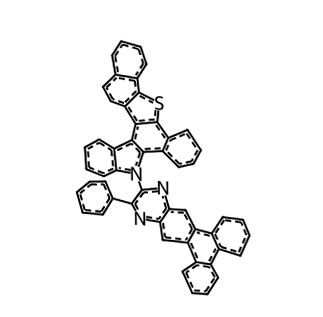 c1ccc(-c2nc3cc4c5ccccc5c5ccccc5c4cc3nc2-n2c3ccccc3c3c4c5ccc6ccccc6c5sc4c4ccccc4c32)cc1